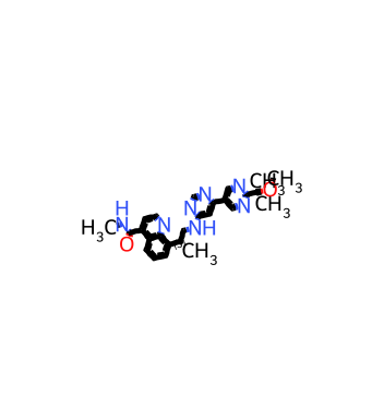 CNC(=O)c1ccnc2c([C@H](C)CNc3cc(-c4cnc(C(C)(C)OC)nc4)ncn3)cccc12